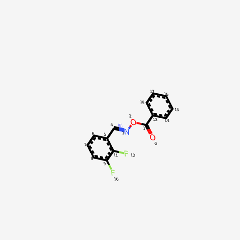 O=C(O/N=C/c1cccc(F)c1F)c1ccccc1